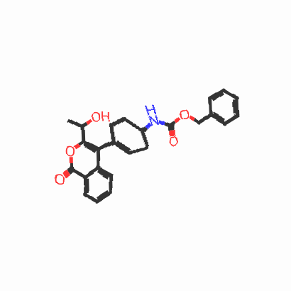 CC(O)c1oc(=O)c2ccccc2c1C1=CCC(NC(=O)OCc2ccccc2)CC1